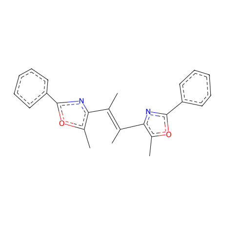 CC(=C(C)c1nc(-c2ccccc2)oc1C)c1nc(-c2ccccc2)oc1C